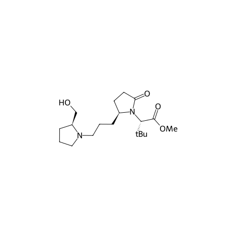 COC(=O)[C@@H](N1C(=O)CC[C@@H]1CCCN1CCC[C@H]1CO)C(C)(C)C